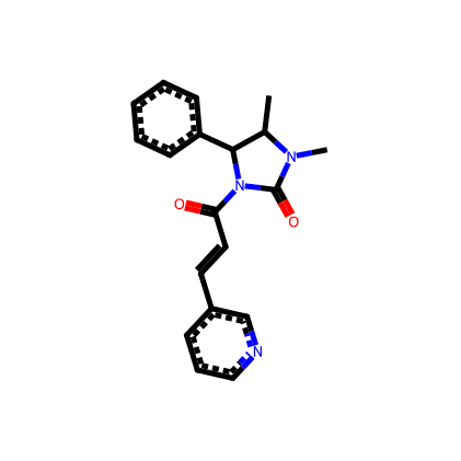 CC1C(c2ccccc2)N(C(=O)/C=C/c2cccnc2)C(=O)N1C